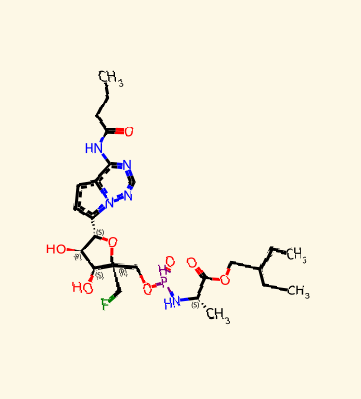 CCCC(=O)Nc1ncnn2c([C@@H]3O[C@](CF)(CO[PH](=O)N[C@@H](C)C(=O)OCC(CC)CC)[C@@H](O)[C@H]3O)ccc12